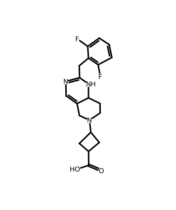 O=C(O)C1CC(N2CCC3NC(Cc4c(F)cccc4F)=NC=C3C2)C1